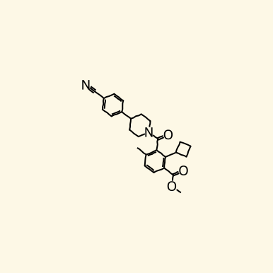 COC(=O)c1ccc(C)c(C(=O)N2CCC(c3ccc(C#N)cc3)CC2)c1C1CCC1